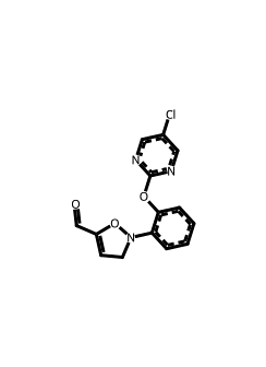 O=CC1=CCN(c2ccccc2Oc2ncc(Cl)cn2)O1